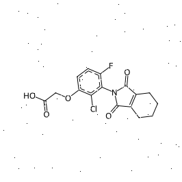 O=C(O)COc1ccc(F)c(N2C(=O)C3=C(CCCC3)C2=O)c1Cl